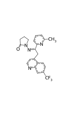 Cc1cccc(C(Cc2ccnc3cc(C(F)(F)F)ccc23)=NN2CCCC2=O)n1